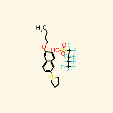 CCCCOc1ccc2cc([SH]3CCCC3)ccc2c1.O=S(=O)(O)C(F)(F)C(F)(F)C(F)(F)C(F)(F)F